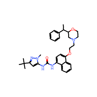 CC(c1ccccc1)C1CN(CCOc2ccc(NC(=O)Nc3cc(C(C)(C)C)nn3C)c3ccccc23)CCO1